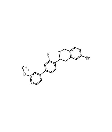 COc1cc(-c2ccc(C3Cc4cc(Br)ccc4CO3)c(F)c2)ccn1